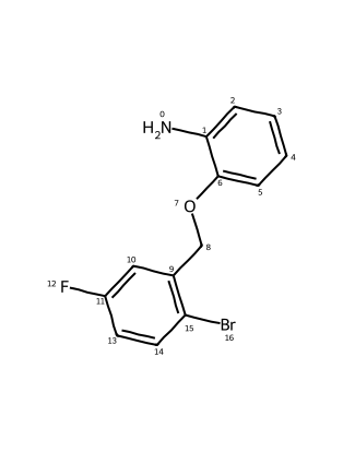 Nc1ccccc1OCc1cc(F)ccc1Br